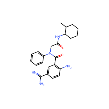 CC1CCCCC1NC(=O)CN(C(=O)c1cc(C(=N)N)ccc1N)c1ccccc1